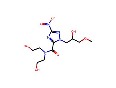 COCC(O)Cn1nc([N+](=O)[O-])nc1C(=O)N(CCO)CCO